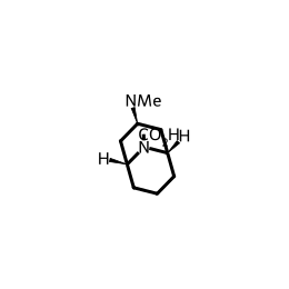 CN[C@@H]1C[C@H]2CCC[C@@H](C1)N2C(=O)O